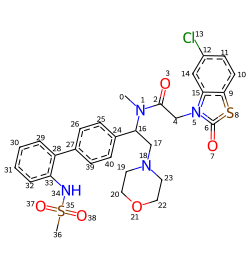 CN(C(=O)Cn1c(=O)sc2ccc(Cl)cc21)C(CN1CCOCC1)c1ccc(-c2ccccc2NS(C)(=O)=O)cc1